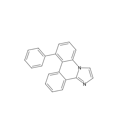 c1ccc(-c2cccc3c2c2ccccc2c2nccn32)cc1